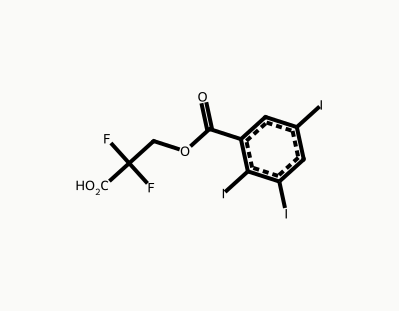 O=C(OCC(F)(F)C(=O)O)c1cc(I)cc(I)c1I